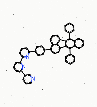 c1ccc(-c2c3c(c(-c4ccccc4)c4ccccc24)-c2ccc(-c4ccc(-c5cccc(-c6cccc(-c7cccnc7)n6)n5)cc4)c4cccc-3c24)cc1